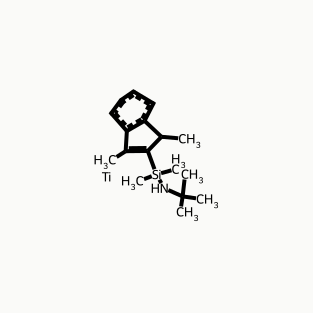 CC1=C([Si](C)(C)NC(C)(C)C)C(C)c2ccccc21.[Ti]